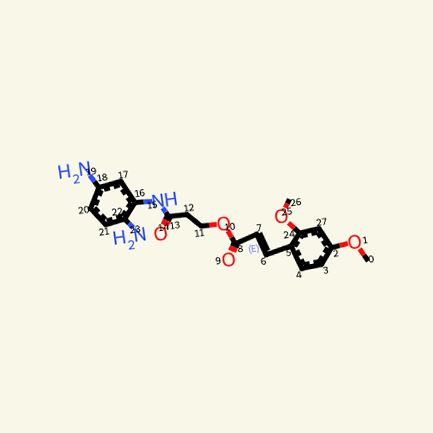 COc1ccc(/C=C/C(=O)OCCC(=O)Nc2cc(N)ccc2N)c(OC)c1